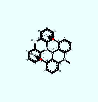 CN1c2cccc(C#N)c2N(B2c3ccccc3Oc3ccccc32)c2c(C#N)cccc21